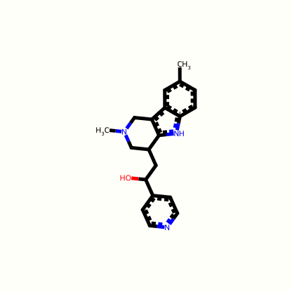 Cc1ccc2[nH]c3c(c2c1)CN(C)CC3CC(O)c1ccncc1